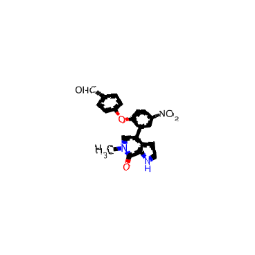 Cn1cc(-c2cc([N+](=O)[O-])ccc2Oc2ccc(C=O)cc2)c2cc[nH]c2c1=O